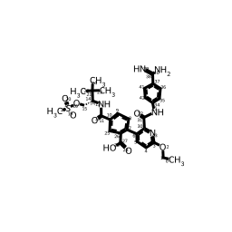 CCOc1ccc(-c2ccc(C(=O)N[C@H](COS(C)(=O)=O)C(C)(C)C)cc2C(=O)O)c(C(=O)Nc2ccc(C(=N)N)cc2)n1